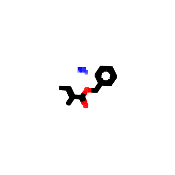 CC=C(C)C(=O)OCc1ccccc1.N